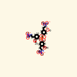 COc1cc(OP(=O)(Oc2ccc(/C=C/[N+](=O)[O-])c(OC)c2)Oc2ccc(/C=C/[N+](=O)[O-])c(OC)c2)ccc1/C=C/[N+](=O)[O-]